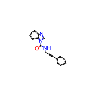 O=C(NCC#Cc1ccccc1)n1cnc2ccccc21